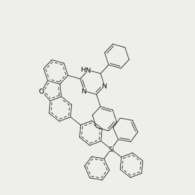 C1=CCCC(C2=NC(C3=CCCC=C3)NC(c3cccc4oc5ccc(-c6ccc([Si](C7=CC=CCC7)(c7ccccc7)c7ccccc7)cc6)cc5c34)=N2)=C1